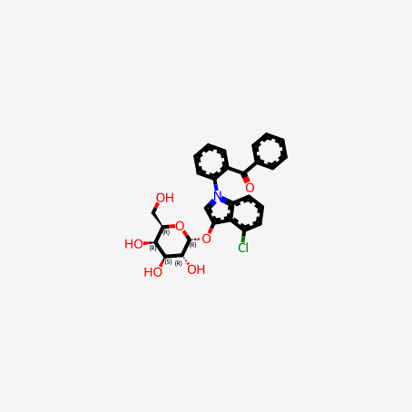 O=C(c1ccccc1)c1ccccc1-n1cc(O[C@H]2O[C@H](CO)[C@H](O)[C@H](O)[C@H]2O)c2c(Cl)cccc21